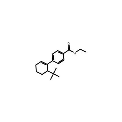 CCOC(=O)c1ccc(C2=CCCCC2C(C)(C)C)cc1